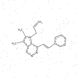 C=CCn1c(C)c(C)c2cnnc(C=Cc3ccccc3)c21